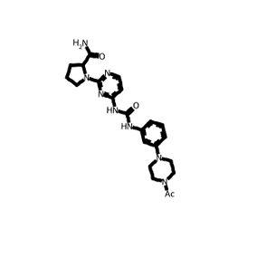 CC(=O)N1CCN(c2cccc(NC(=O)Nc3ccnc(N4CCCC4C(N)=O)n3)c2)CC1